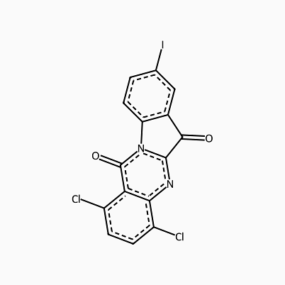 O=C1c2cc(I)ccc2-n2c1nc1c(Cl)ccc(Cl)c1c2=O